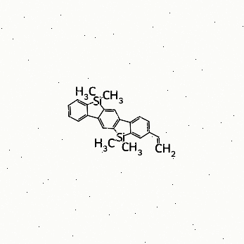 C=Cc1ccc2c(c1)[Si](C)(C)c1cc3c(cc1-2)[Si](C)(C)c1ccccc1-3